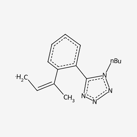 [CH2]/C=C(/C)c1ccccc1-c1nnnn1CCCC